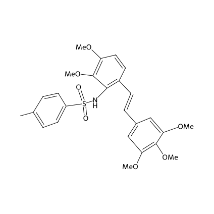 COc1cc(C=Cc2ccc(OC)c(OC)c2NS(=O)(=O)c2ccc(C)cc2)cc(OC)c1OC